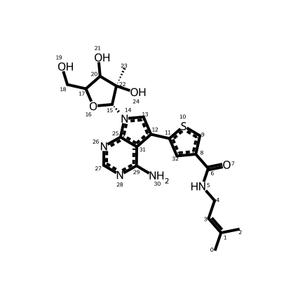 CC(C)=CCNC(=O)c1csc(-c2cn([C@@H]3OC(CO)C(O)[C@@]3(C)O)c3ncnc(N)c23)c1